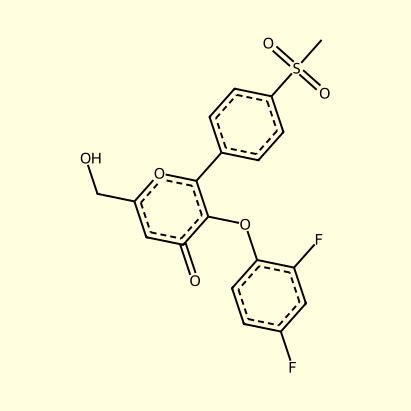 CS(=O)(=O)c1ccc(-c2oc(CO)cc(=O)c2Oc2ccc(F)cc2F)cc1